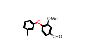 COc1cc(C=O)ccc1Oc1cccc(C)c1